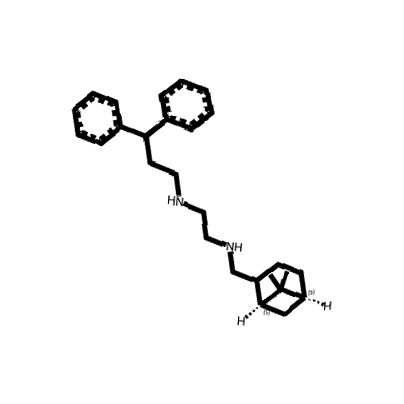 CC1(C)[C@H]2CCC(CNCCNCCC(c3ccccc3)c3ccccc3)[C@@H]1C2